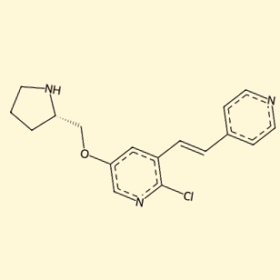 Clc1ncc(OC[C@@H]2CCCN2)cc1/C=C/c1ccncc1